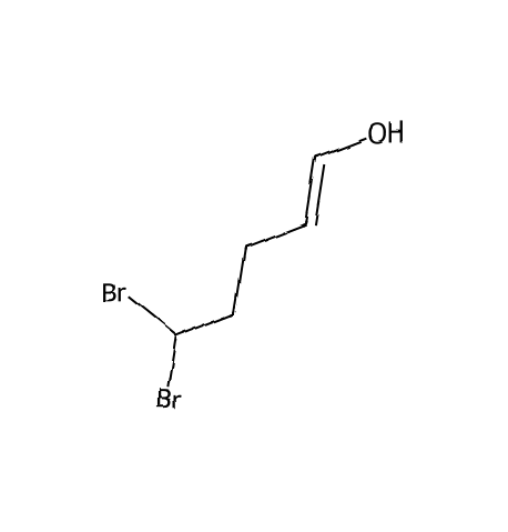 OC=CCCC(Br)Br